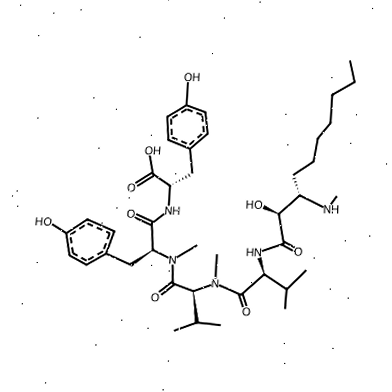 CCCCCCC[C@H](NC)[C@H](O)C(=O)N[C@H](C(=O)N(C)[C@H](C(=O)N(C)[C@@H](Cc1ccc(O)cc1)C(=O)N[C@@H](Cc1ccc(O)cc1)C(=O)O)C(C)C)C(C)C